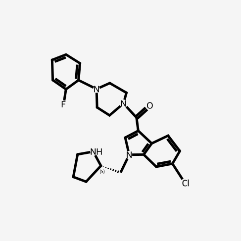 O=C(c1cn(C[C@@H]2CCCN2)c2cc(Cl)ccc12)N1CCN(c2ccccc2F)CC1